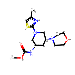 Cc1csc(N2C[C@@H](NC(=O)OC(C)(C)C)C[C@H](N3CCOCC3)C2)n1